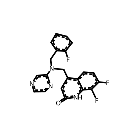 O=c1cc(CN(Cc2ccccc2F)c2cnccn2)c2ccc(F)c(F)c2[nH]1